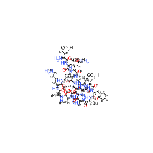 CC[C@H](C)[C@H](NC(=O)[C@H](Cc1ccccc1)NC(=O)[C@H](CCC(=O)O)NC(=O)[C@H](CCCCN)NC(=O)[C@H](C)NC(=O)[C@H](C)NC(=O)[C@H](CCC(N)=O)NC(=O)[C@H](CCC(=O)O)NC(=O)[C@@H](N)CCC(=O)O)C(=O)N[C@@H](C)C(=O)N[C@@H](Cc1c[nH]c2ccccc12)C(=O)N[C@@H](CC(C)C)C(=O)N[C@H](C(=O)N[C@@H](CCCCN)C(=O)NCC(=O)O)C(C)C